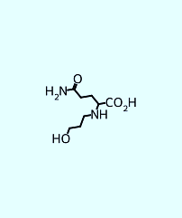 NC(=O)CCC(NCCCO)C(=O)O